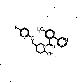 Cc1ccc(-c2cccnc2)c(C(=O)N2CC(COc3ccc(F)cn3)CCC2C)c1